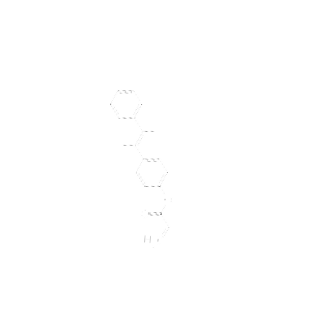 C=CC(=O)Oc1ccc(C(F)=C(F)c2ccccc2)cc1